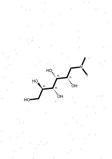 CN(I)C[C@H](O)[C@@H](O)[C@H](O)[C@H](O)CO